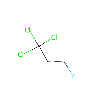 FCCC(Cl)(Cl)Cl